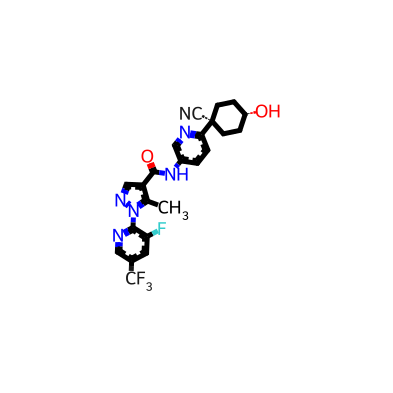 Cc1c(C(=O)Nc2ccc([C@]3(C#N)CC[C@@H](O)CC3)nc2)cnn1-c1ncc(C(F)(F)F)cc1F